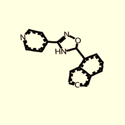 c1ccc2c(C3NC(c4ccncc4)=NO3)cccc2c1